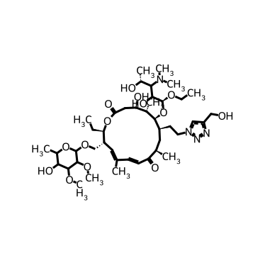 CCO[C@@H](O[C@H]1[C@@H](CCn2cc(CO)nn2)C[C@@H](C)C(=O)/C=C/C(C)=C/[C@H](COC2OC(C)C(O)C(OC)C2OC)[C@@H](CC)OC(=O)C[C@@H](O)[C@@H]1C)C(O)C([C@@H](C)O)N(C)C